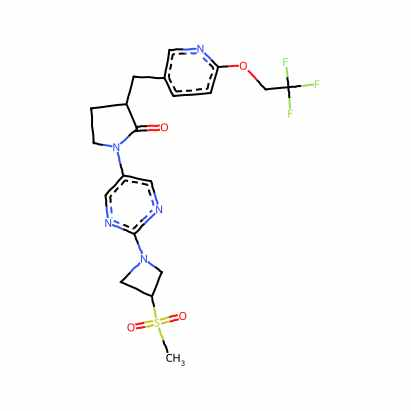 CS(=O)(=O)C1CN(c2ncc(N3CCC(Cc4ccc(OCC(F)(F)F)nc4)C3=O)cn2)C1